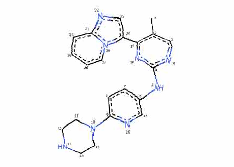 Cc1cnc(Nc2ccc(N3CCNCC3)nc2)nc1-c1cnc2ccccn12